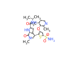 Cc1ccnc(C)c1Oc1cc(S(N)(=O)=O)sc1-c1cn(C)c(=O)c2[nH]c(C(=O)NC(C)C)cc12